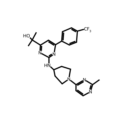 Cc1nccc(N2CCC(Nc3nc(-c4ccc(C(F)(F)F)cc4)cc(C(C)(C)O)n3)CC2)n1